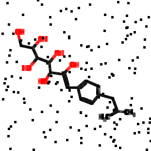 CC(C)Cc1ccc(C=C(O)C(O)C(O)C(O)C(O)CO)cc1